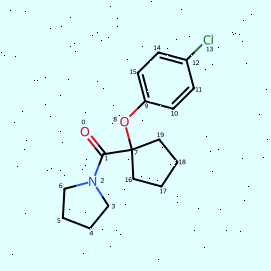 O=C(N1CCCC1)C1(Oc2ccc(Cl)cc2)CCCC1